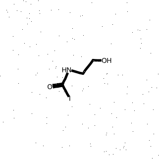 O=C(I)NCCO